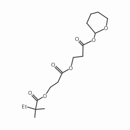 CCC(C)(C)C(=O)OCCC(=O)OCCC(=O)OC1CCCCO1